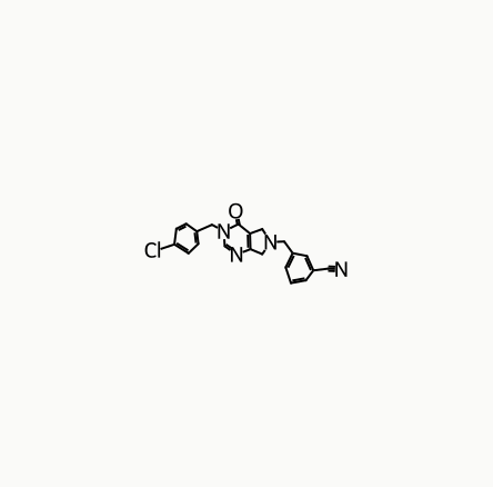 N#Cc1cccc(CN2Cc3ncn(Cc4ccc(Cl)cc4)c(=O)c3C2)c1